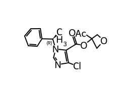 CC(=O)C1(OC(=O)c2c(Cl)ncn2[C@H](C)c2ccccc2)COC1